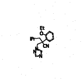 CCOc1ccccc1C(C#N)(CC(C)C)Cn1cncn1